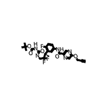 C#CCOc1cnc(C(=O)Nc2ccc(F)c([C@@]3(C)OC(NC(=O)OC(C)(C)C)=NCC3(F)F)c2)cn1